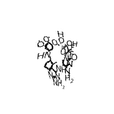 COc1cc(NCc2ccc3nc(N)nc(N)c3c2C)cc(OC)c1OC.Nc1ccn([C@@H]2O[C@H](CO)[C@@H](O)C2(F)F)c(=O)n1